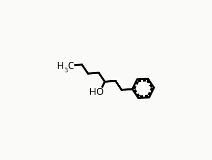 CCCCC(O)CCc1ccccc1